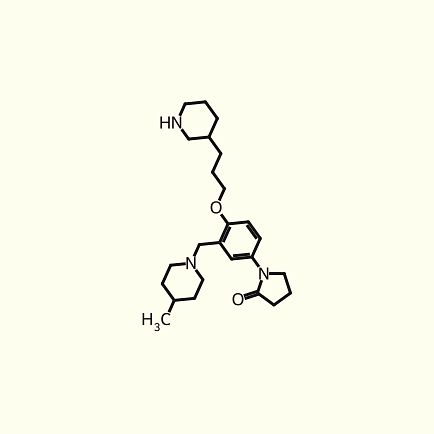 CC1CCN(Cc2cc(N3CCCC3=O)ccc2OCCCC2CCCNC2)CC1